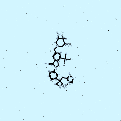 CC1CN(Cc2cc3c(c(C(F)(F)F)c2)CN(c2cccc(C4(Cc5nncn5C)COC4)c2)C3=O)CC(C)C1(F)F